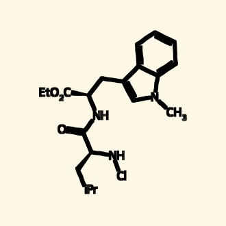 CCOC(=O)[C@@H](Cc1cn(C)c2ccccc12)NC(=O)[C@H](CC(C)C)NCl